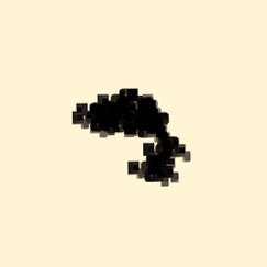 CC[C@H](C)[C@@H]([C@@H](CC(=O)N1CCC[C@H]1[C@H](OC)[C@@H](C)C(=O)N[C@@H](Cc1ccccc1)C(=O)NCCCOC(=O)C(C)(C)CCNC(=O)[C@@H](N)C(C)C)OC)N(C)C(=O)[C@@H](NC(=O)[C@H](C(C)C)N(C)C)C(C)C